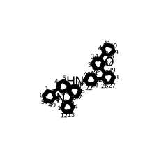 C1=CC2c3ccccc3N(c3ccccc3-c3ccc(Nc4ccc(-c5ccccc5-c5cccc6c5oc5ccccc56)cc4)cc3)C2C=C1